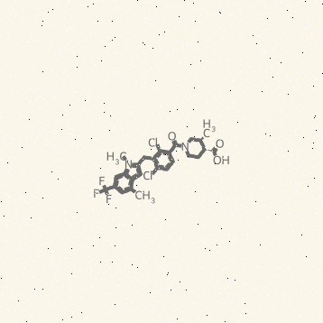 Cc1cc(C(F)(F)F)cc2c1cc(Cc1c(Cl)ccc(C(=O)N3CC[C@@H](C(=O)O)[C@H](C)C3)c1Cl)n2C